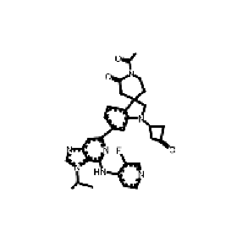 CC(=O)N1CCC2(CC1=O)CN(C1CC(=O)C1)c1cc(-c3cc4ncn(C(C)C)c4c(Nc4ccncc4F)n3)ccc12